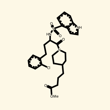 COC(=O)CCCC1CCN(C(=O)C(CCc2ccccc2Cl)NS(=O)(=O)c2cccc3[nH]ccc23)CC1